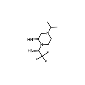 CC(C)N1CCN(C(=N)C(F)(F)F)C(=N)C1